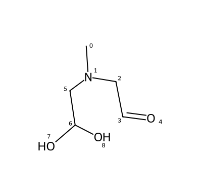 CN(CC=O)CC(O)O